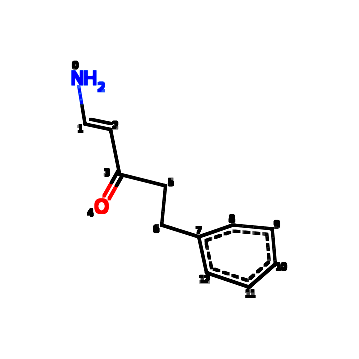 N/C=C/C(=O)CCc1ccccc1